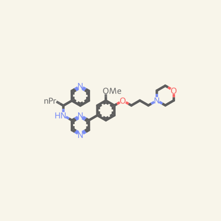 CCCC(Nc1cncc(-c2ccc(OCCCN3CCOCC3)c(OC)c2)n1)c1cccnc1